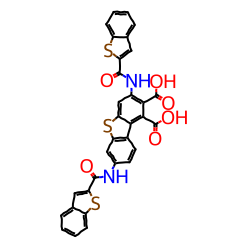 O=C(Nc1ccc2c(c1)sc1cc(NC(=O)c3cc4ccccc4s3)c(C(=O)O)c(C(=O)O)c12)c1cc2ccccc2s1